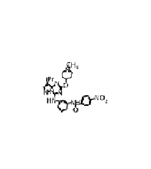 CC(C)c1cnn2c(Nc3cccc(NC(=O)c4ccc([N+](=O)[O-])cc4)c3)nc(OC3CCN(C)CC3)nc12